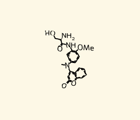 COc1ccc(N(C)c2cc(=O)oc3ccccc23)cc1NC(=O)[C@@H](N)CO